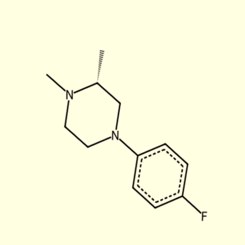 C[C@@H]1CN(c2ccc(F)cc2)CCN1C